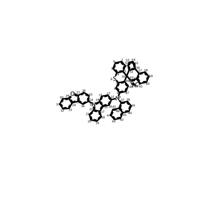 c1ccc2c(c1)Sc1cc(N(c3ccc4c(c3)c3ccccc3n4-c3ccc4oc5ccccc5c4c3)c3cccc4ccccc34)ccc1C21c2ccccc2-c2cccc3cccc1c23